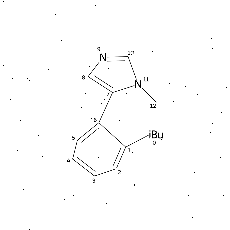 CCC(C)c1ccccc1-c1cncn1C